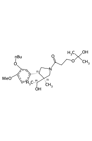 CCCCOc1cc([C@@H]2CN(C(=O)CCOC(C)(C)O)C[C@@]2(C)[C@@H](C)O)ccc1OC